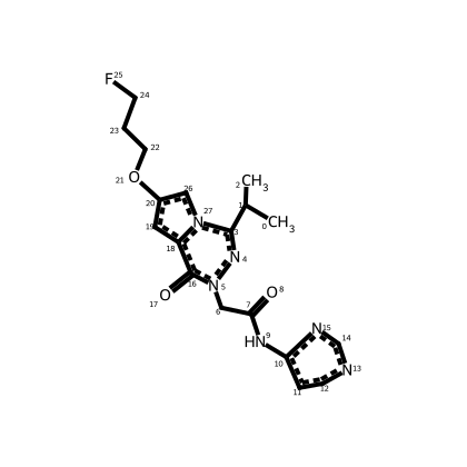 CC(C)c1nn(CC(=O)Nc2ccncn2)c(=O)c2cc(OCCCF)cn12